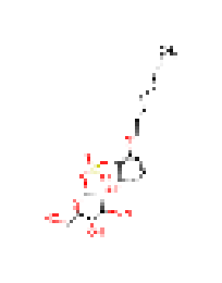 CCCCCCCCOc1ccccc1OS(=O)(=O)O[C@@H]1O[C@H](CO)[C@H](O)[C@H](O)[C@H]1O